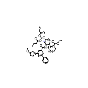 CCCC(=O)OC(OC(=O)CCC)O/[P+]([O-])=C/[C@H](NC(=O)c1cc(N2CC[C@H](OC)C2)nc(-c2ccccc2)n1)C(=O)C1CNCCN1C(=O)OCC